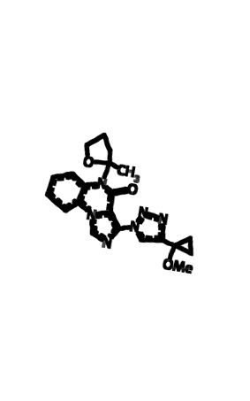 COC1(c2cn(-c3ncn4c3c(=O)n(C3(C)CCCO3)c3ccccc34)nn2)CC1